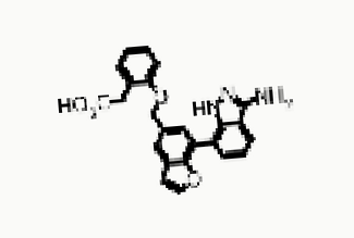 Nc1n[nH]c2c(-c3cc(COc4ccccc4CC(=O)O)cc4ccoc34)cccc12